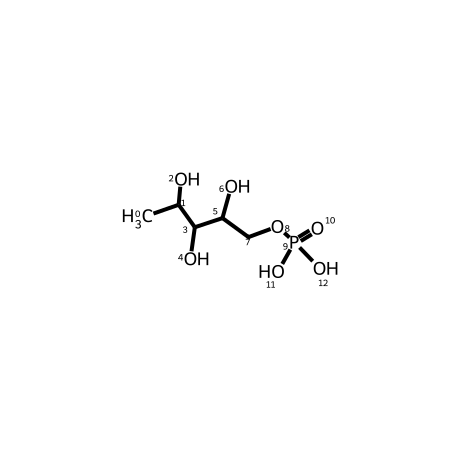 CC(O)C(O)C(O)COP(=O)(O)O